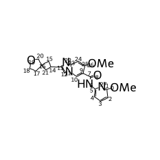 COc1cccc(NC(=O)c2cn3cc(C4CC5(CCOC5)C4)nc3cc2OC)n1